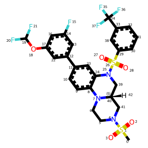 CS(=O)(=O)N1CCN2c3ccc(-c4cc(F)cc(OC(F)F)c4)cc3N(S(=O)(=O)c3cccc(C(F)(F)F)c3)C[C@@H]2C1